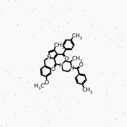 COc1ccc(Cn2cc(C)c(C(=O)c3ccc(C)cc3)c2C(=O)N2CCN(C(=O)c3ccc(C)cc3)C(C)C2)cc1